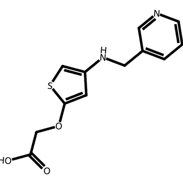 O=C(O)COc1cc(NCc2cccnc2)cs1